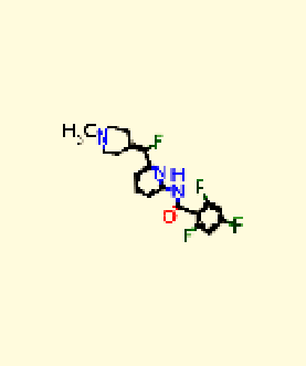 CN1CCC(=C(F)c2cccc(NC(=O)c3c(F)cc(F)cc3F)n2)CC1